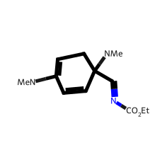 CCOC(=O)N=CC1(NC)C=CC(NC)=CC1